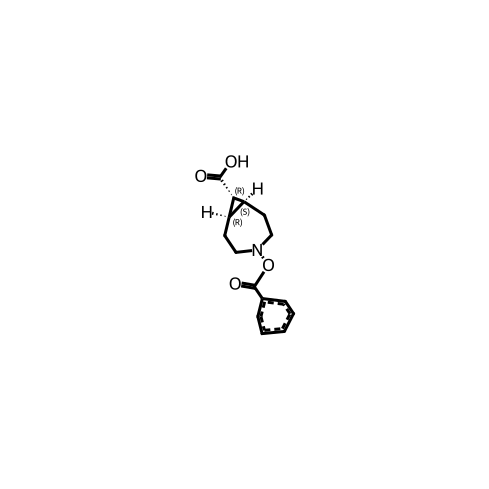 O=C(ON1CC[C@@H]2[C@H](CC1)[C@H]2C(=O)O)c1ccccc1